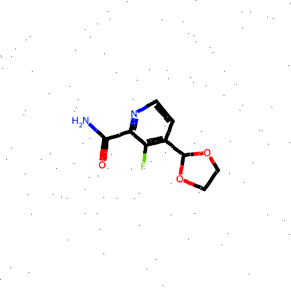 NC(=O)c1nccc(C2OCCO2)c1F